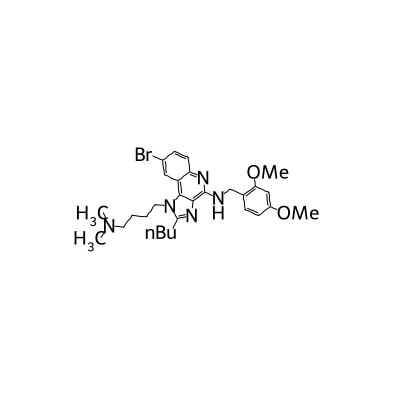 CCCCc1nc2c(NCc3ccc(OC)cc3OC)nc3ccc(Br)cc3c2n1CCCCN(C)C